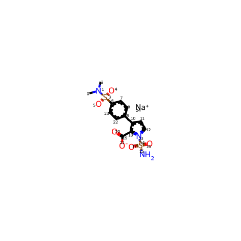 CN(C)S(=O)(=O)c1ccc(-c2ccn(S(N)(=O)=O)c2C(=O)[O-])cc1.[Na+]